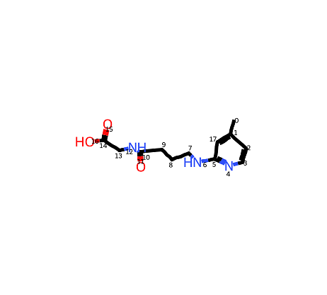 Cc1ccnc(NCCCC(=O)NCC(=O)O)c1